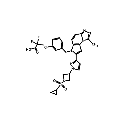 Cc1nnc2ccc3c(cc(-c4ccn(C5CN(S(=O)(=O)C6CC6)C5)n4)n3Cc3cccc(Cl)c3)n12.O=C(O)C(F)(F)F